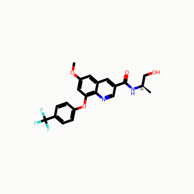 COc1cc(Oc2ccc(C(F)(F)F)cc2)c2ncc(C(=O)N[C@H](C)CO)cc2c1